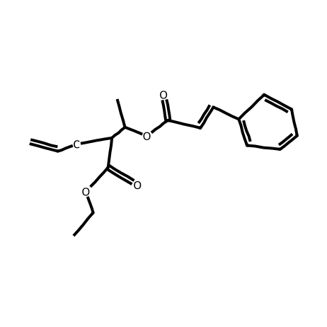 C=CCC(C(=O)OCC)C(C)OC(=O)C=Cc1ccccc1